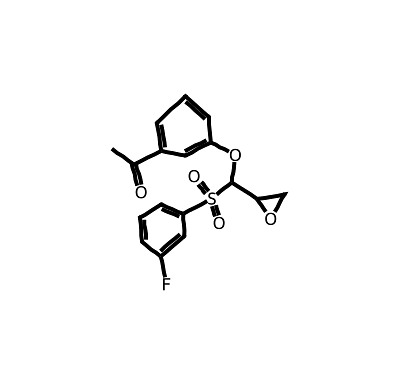 CC(=O)c1cccc(OC(C2CO2)S(=O)(=O)c2cccc(F)c2)c1